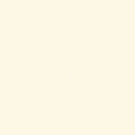 N#C/C=C(/N)c1ccc(Cl)c(Cl)c1